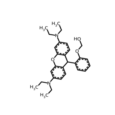 CCN(CC)c1ccc2c(c1)Oc1cc(N(CC)CC)ccc1C2c1ccccc1OCO